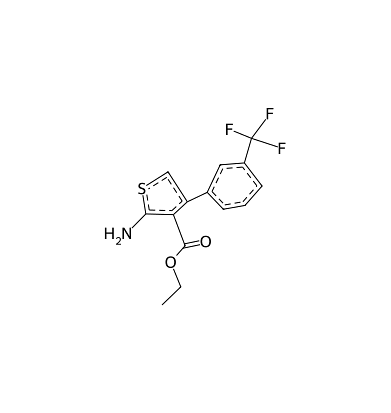 CCOC(=O)c1c(-c2cccc(C(F)(F)F)c2)csc1N